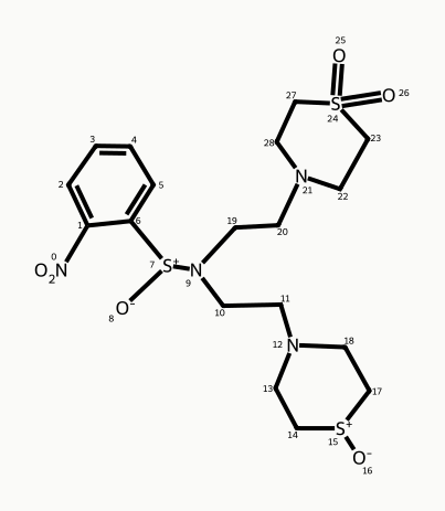 O=[N+]([O-])c1ccccc1[S+]([O-])N(CCN1CC[S+]([O-])CC1)CCN1CCS(=O)(=O)CC1